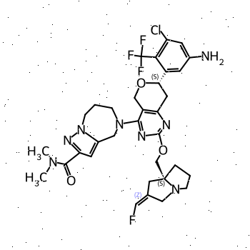 CN(C)C(=O)c1cc2n(n1)CCCN(c1nc(OC[C@@]34CCCN3C/C(=C\F)C4)nc3c1CO[C@H](c1cc(N)cc(Cl)c1C(F)(F)F)C3)C2